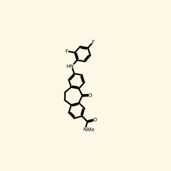 CNC(=O)c1ccc2c(c1)C(=O)c1ccc(Nc3ccc(F)cc3F)cc1CC2